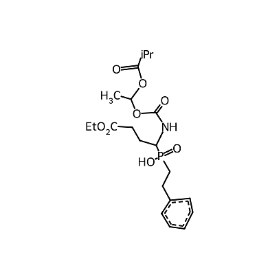 CCOC(=O)CCC(NC(=O)OC(C)OC(=O)C(C)C)P(=O)(O)CCc1ccccc1